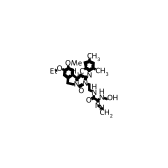 C=N/N=C(\NCO)C(=O)NCCn1c(=O)n2c(c/c1=N\c1c(C)cc(C)cc1C)-c1cc(OC)c(OCC)cc1CC2